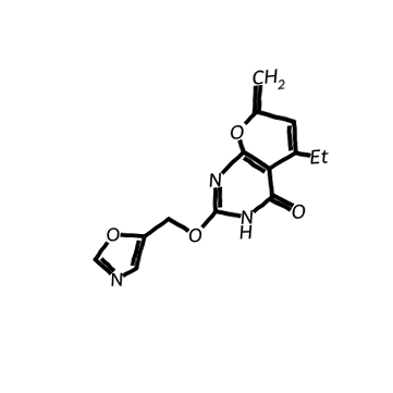 C=C1C=C(CC)c2c(nc(OCc3cnco3)[nH]c2=O)O1